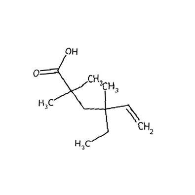 C=CC(C)(CC)CC(C)(C)C(=O)O